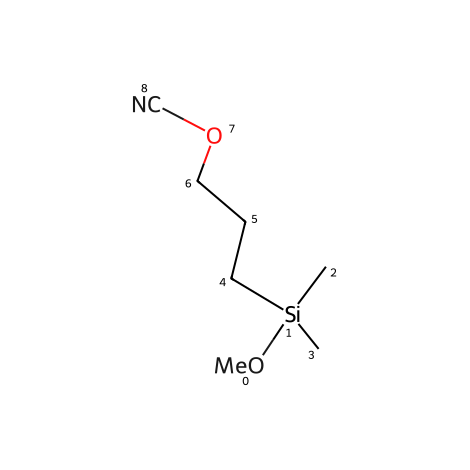 CO[Si](C)(C)CCCOC#N